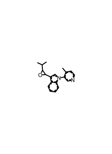 Cc1ccncc1-n1cc(C2OC2C(C)C)c2ccccc21